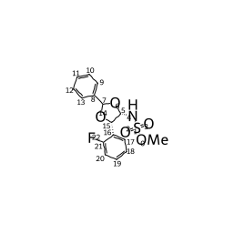 COS(=O)(=O)N[C@H]1OC(c2ccccc2)O[C@H]1c1ccccc1F